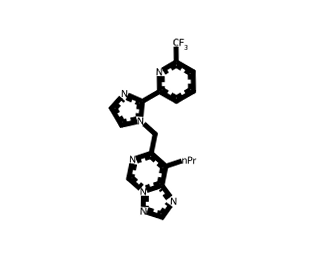 CCCc1c(Cn2ccnc2-c2cccc(C(F)(F)F)n2)ncn2ncnc12